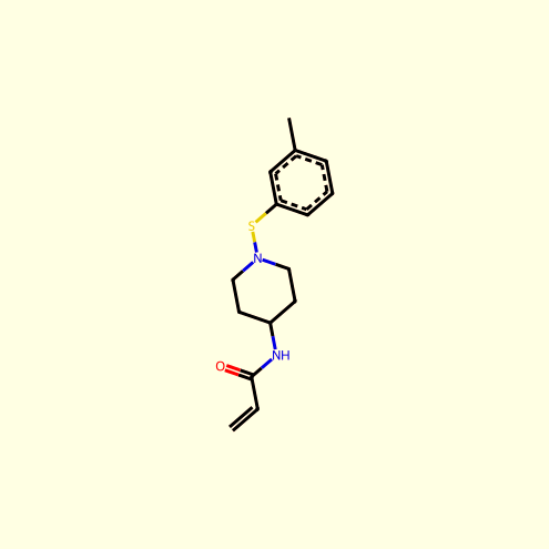 C=CC(=O)NC1CCN(Sc2cccc(C)c2)CC1